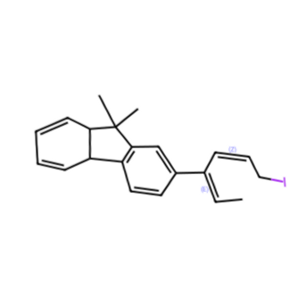 C/C=C(\C=C/CI)c1ccc2c(c1)C(C)(C)C1C=CC=CC21